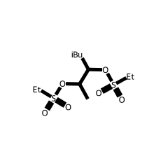 CCC(C)C(OS(=O)(=O)CC)C(C)OS(=O)(=O)CC